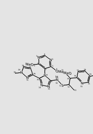 COc1ncnc(OC)c1-n1c(NSC(C)C(OC)c2ccc(Cl)cn2)nnc1-c1ccn(C)n1